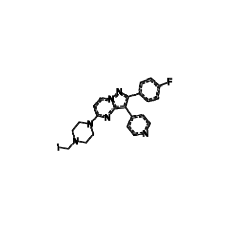 Fc1ccc(-c2nn3ccc(N4CCN(CI)CC4)nc3c2-c2ccncc2)cc1